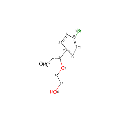 O=CCC(OCCO)c1ccc(Br)cc1